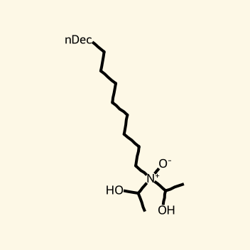 CCCCCCCCCCCCCCCCCC[N+]([O-])(C(C)O)C(C)O